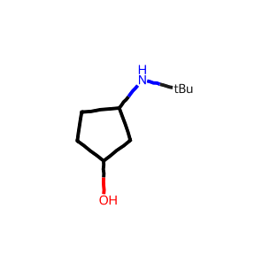 CC(C)(C)NC1CCC(O)C1